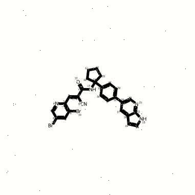 N#C/C(=C\c1ncc(Br)cc1Br)C(=O)NC1(c2ccc(-c3cnc4[nH]ccc4c3)cc2)CCCC1